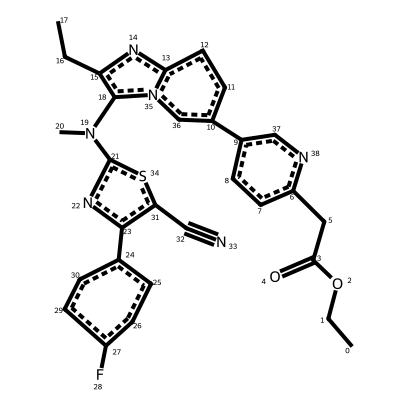 CCOC(=O)Cc1ccc(-c2ccc3nc(CC)c(N(C)c4nc(-c5ccc(F)cc5)c(C#N)s4)n3c2)cn1